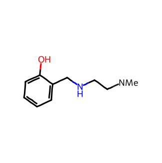 CNCCNCc1ccccc1O